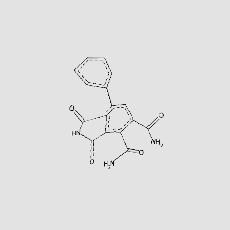 NC(=O)c1cc(-c2ccccc2)c2c(c1C(N)=O)C(=O)NC2=O